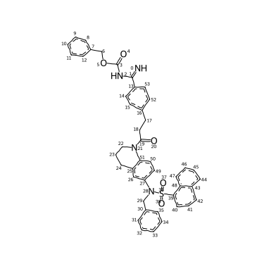 N=C(NC(=O)OCc1ccccc1)c1ccc(CCC(=O)N2CCCc3cc(N(Cc4ccccc4)S(=O)(=O)c4cccc5ccccc45)ccc32)cc1